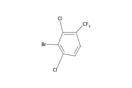 FC(F)(F)c1[c]cc(Cl)c(Br)c1Cl